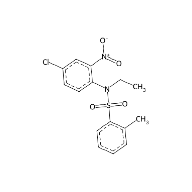 CCN(c1ccc(Cl)cc1[N+](=O)[O-])S(=O)(=O)c1ccccc1C